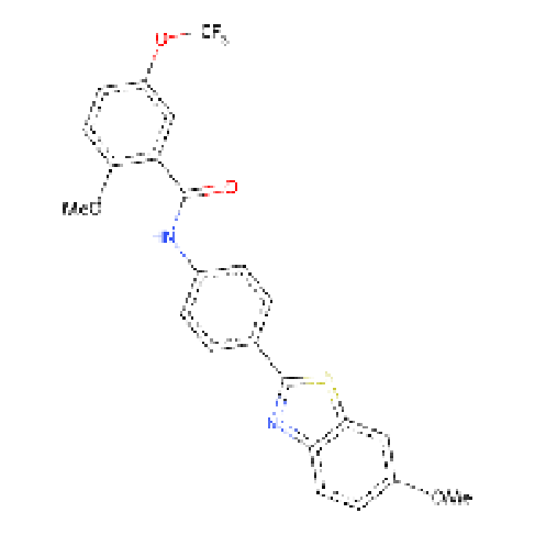 COc1ccc2nc(-c3ccc(NC(=O)c4cc(OC(F)(F)F)ccc4OC)cc3)sc2c1